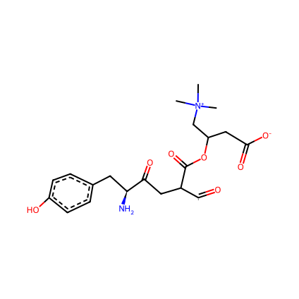 C[N+](C)(C)CC(CC(=O)[O-])OC(=O)C([C]=O)CC(=O)[C@@H](N)Cc1ccc(O)cc1